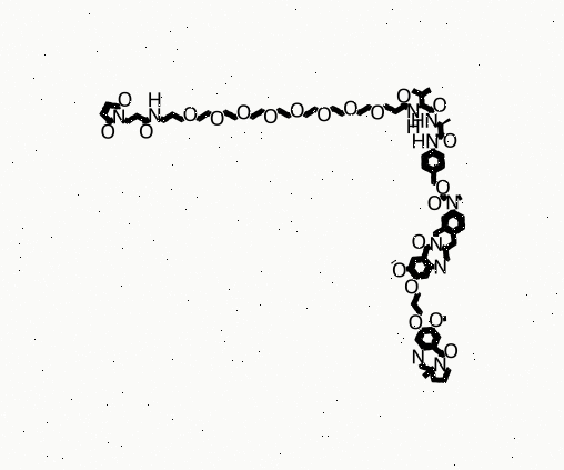 COc1cc2c(cc1OCCCOc1cc3c(cc1OC)C(=O)N1CCCC1(C)C=N3)N=CC1Cc3ccc(N(C)C(=O)OCc4ccc(NC(=O)[C@H](C)NC(=O)[C@@H](NC(=O)CCOCCOCCOCCOCCOCCOCCOCCOCCCNC(=O)CCN5C(=O)C=CC5=O)C(C)C)cc4)cc3CN1C2=O